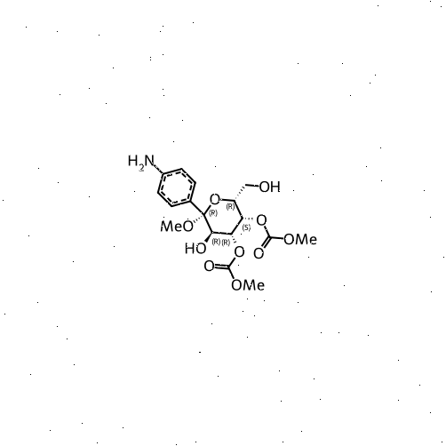 COC(=O)O[C@@H]1[C@H](OC(=O)OC)[C@@H](O)[C@@](OC)(c2ccc(N)cc2)O[C@@H]1CO